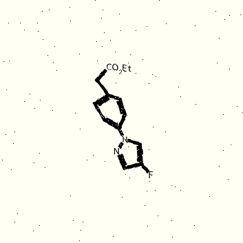 CCOC(=O)Cc1ccc(-n2cc(F)cn2)cc1